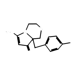 CSC1=CC(=O)C2(Cc3ccc(F)cc3)CNCCN12